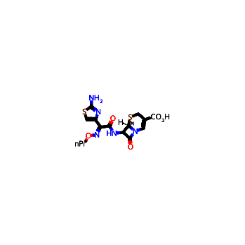 CCCON=C(C(=O)NC1C(=O)N2C=C(C(=O)O)CS[C@H]12)c1csc(N)n1